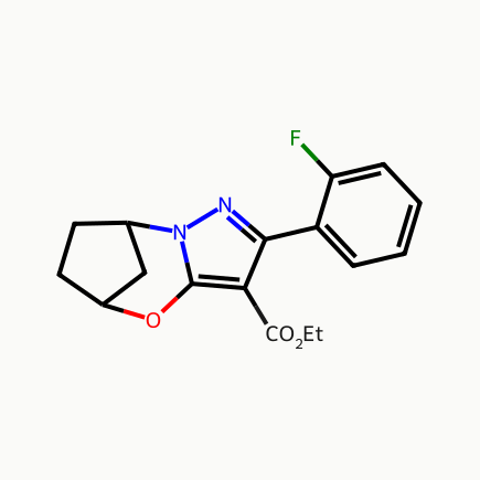 CCOC(=O)c1c(-c2ccccc2F)nn2c1OC1CCC2C1